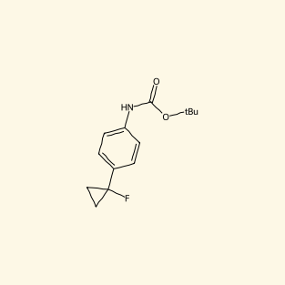 CC(C)(C)OC(=O)Nc1ccc(C2(F)CC2)cc1